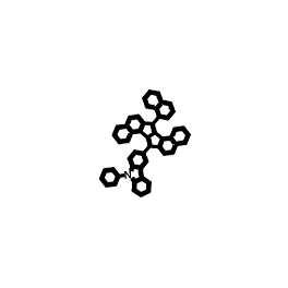 c1ccc(-n2c3ccccc3c3cc(C4=C5C(=C(c6cccc7ccccc67)c6ccc7ccccc7c65)c5c4ccc4ccccc54)ccc32)cc1